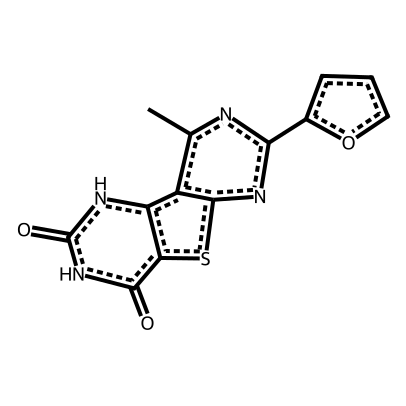 Cc1nc(-c2ccco2)nc2sc3c(=O)[nH]c(=O)[nH]c3c12